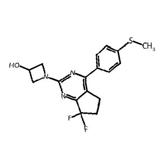 CSc1ccc(-c2nc(N3CC(O)C3)nc3c2CCC3(F)F)cc1